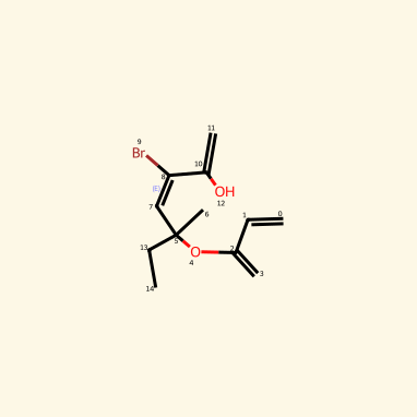 C=CC(=C)OC(C)(/C=C(/Br)C(=C)O)CC